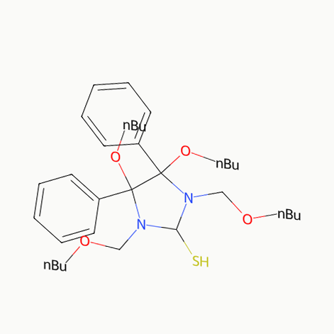 CCCCOCN1C(S)N(COCCCC)C(OCCCC)(c2ccccc2)C1(OCCCC)c1ccccc1